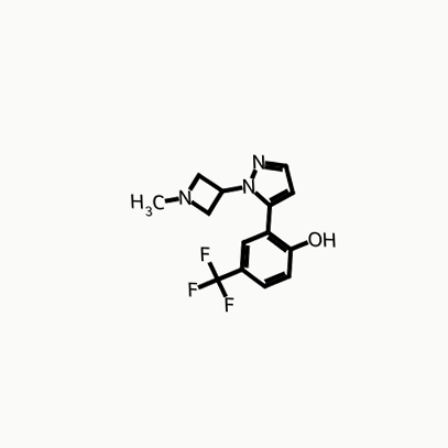 CN1CC(n2nccc2-c2cc(C(F)(F)F)ccc2O)C1